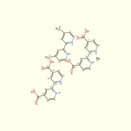 Cc1ccnc(-c2cc(C)ccn2)c1.O=C(O)c1ccnc(-c2cc(C(=O)O)ccn2)c1.O=C(O)c1ccnc(-c2cc(C(=O)O)ccn2)c1.[Ru]